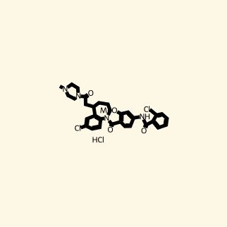 COc1cc(NC(=O)c2ccccc2Cl)ccc1C(=O)N1CCCC(CC(=O)N2CCN(C)CC2)c2cc(Cl)ccc21.Cl